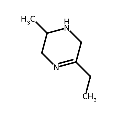 CCC1=NCC(C)NC1